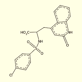 O=C(O)C(Cc1cc(=O)[nH]c2ccccc12)NS(=O)(=O)c1ccc(Cl)cc1